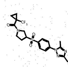 Cc1nc(C)n(-c2ccc(S(=O)(=O)C3CCN(C(=O)C4(C(F)(F)F)CC4)C3)cc2)n1